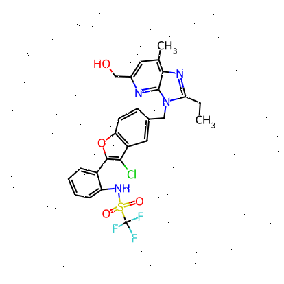 CCc1nc2c(C)cc(CO)nc2n1Cc1ccc2oc(-c3ccccc3NS(=O)(=O)C(F)(F)F)c(Cl)c2c1